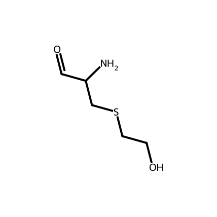 NC(C=O)CSCCO